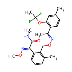 CNC(=O)/C(=N/OC)c1cccc(C)c1CO/N=C(\C)c1ccc(C)cc1OC(C)(F)F